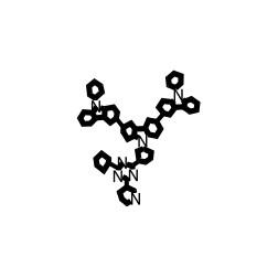 c1ccc(-c2nc(-c3cccnc3)nc(-c3cccc(-n4c5ccc(-c6ccc7c(c6)c6ccccc6n7-c6ccccc6)cc5c5cc(-c6ccc7c(c6)c6ccccc6n7-c6ccccc6)ccc54)c3)n2)cc1